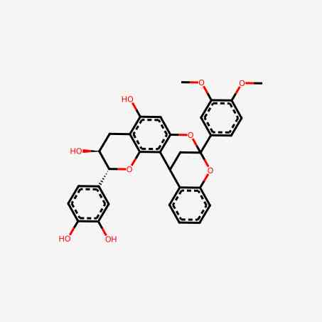 COc1ccc(C23CC(c4ccccc4O2)c2c(cc(O)c4c2O[C@H](c2ccc(O)c(O)c2)[C@@H](O)C4)O3)cc1OC